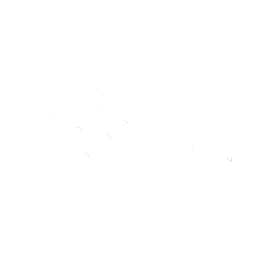 C=CC(=O)N(C(=O)C1CCN1)c1cccc(CNc2nc(NC3CCOCC3)nc3c(C(C)C)cnn23)c1F